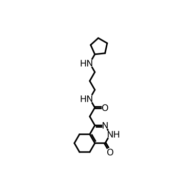 O=C(Cc1n[nH]c(=O)c2c1CCCC2)NCCCNC1CCCC1